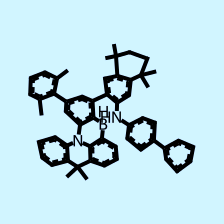 Cc1cccc(C)c1-c1cc(-c2cc3c(cc2Nc2ccc(-c4ccccc4)cc2)C(C)(C)CCC3(C)C)c2c(c1)N1c3ccccc3C(C)(C)c3cccc(c31)B2